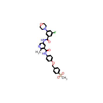 Cc1ncc(NC(=O)c2cc(F)cc(N3CCOCC3)c2)cc1C(=O)Nc1ccc(OCc2ccc(S(C)(=O)=O)cc2)cc1